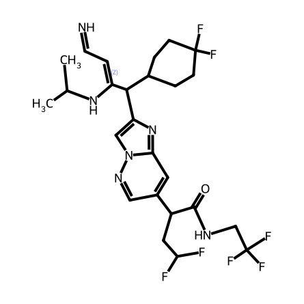 CC(C)N/C(=C\C=N)C(c1cn2ncc(C(CC(F)F)C(=O)NCC(F)(F)F)cc2n1)C1CCC(F)(F)CC1